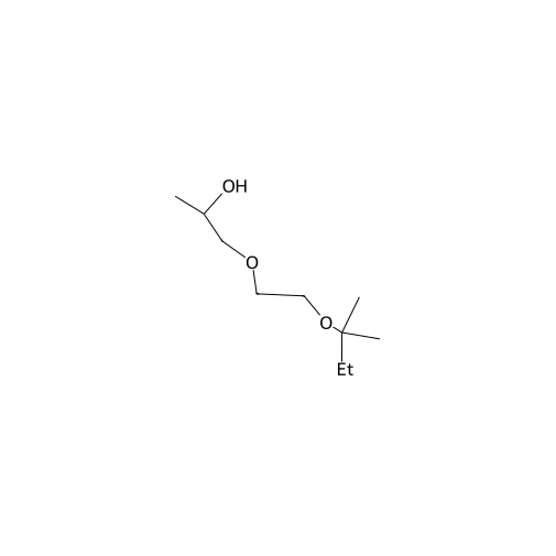 CCC(C)(C)OCCOCC(C)O